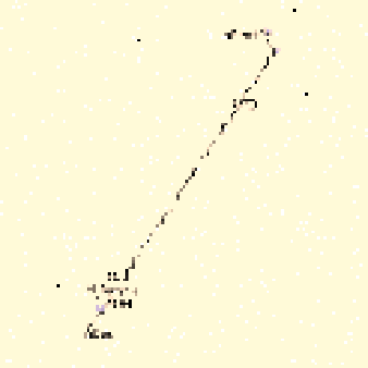 CCCCC/C=C\C/C=C\CCCCCCCC(=O)OCCCCCCCCCCCCCCCCCCCCCCCCCCCCCCCC(=O)C(O)[C@H](N)[C@H](O)/C=C/CCCCCCCCCCCCC